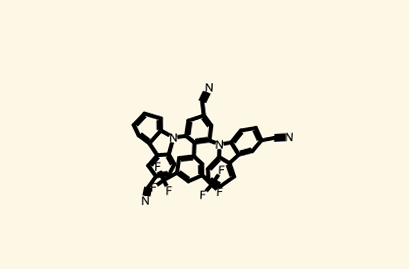 N#Cc1cc(-n2c3ccccc3c3cc(C#N)ccc32)c(-c2cc(C(F)(F)F)cc(C(F)(F)F)c2)c(-n2c3ccccc3c3cc(C#N)ccc32)c1